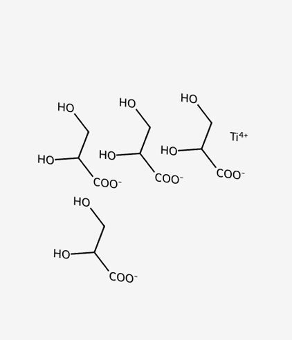 O=C([O-])C(O)CO.O=C([O-])C(O)CO.O=C([O-])C(O)CO.O=C([O-])C(O)CO.[Ti+4]